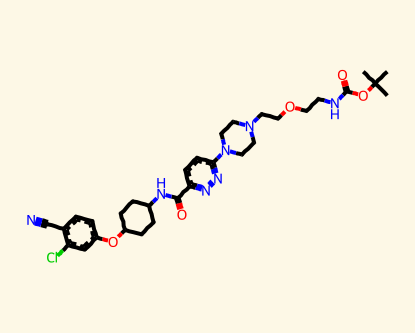 CC(C)(C)OC(=O)NCCOCCN1CCN(c2ccc(C(=O)NC3CCC(Oc4ccc(C#N)c(Cl)c4)CC3)nn2)CC1